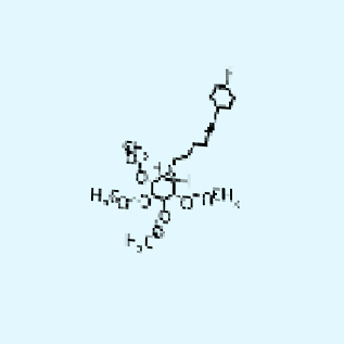 COCO[C@H]1[C@H](OCOC)[C@@H](OCOC)[C@H]2[C@@H]([C@@H]1OCOC)N2CCCCC#Cc1ccc(F)cc1